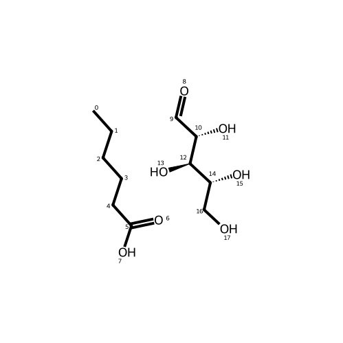 CCCCCC(=O)O.O=C[C@H](O)[C@H](O)[C@H](O)CO